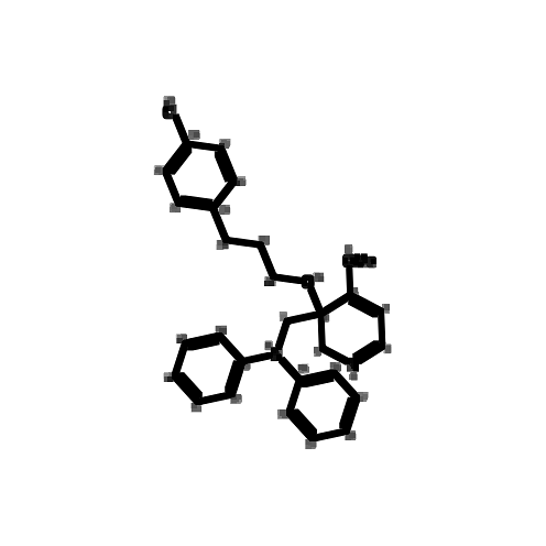 COC1=CC=NCC1(CN(c1ccccc1)c1ccccc1)OCCCc1ccc(Cl)cc1